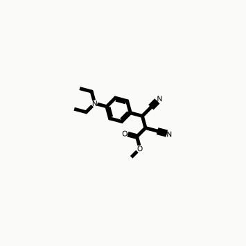 CCN(CC)c1ccc(C(C#N)C(C#N)C(=O)OC)cc1